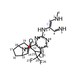 CN/C=C(\C=N)Nc1ncc(Cl)c(C2=CC3CCC(C2)N3C(=O)C2CC2(F)F)n1